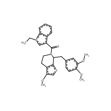 CCn1cc(C(=O)N2CCc3c(OC)csc3C2Cc2ccc(OC)c(OC)c2)c2ccccc21